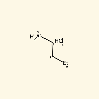 CCC[CH2][AlH2].Cl